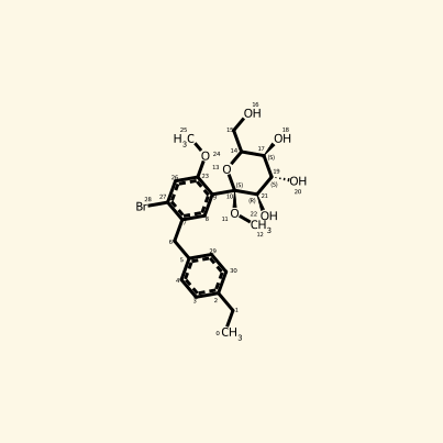 CCc1ccc(Cc2cc([C@]3(OC)OC(CO)[C@@H](O)[C@H](O)[C@H]3O)c(OC)cc2Br)cc1